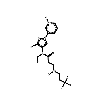 CCN(C(=O)CC[S+]([O-])CCC(F)(F)F)c1cn(-c2ccc[n+]([O-])c2)nc1Cl